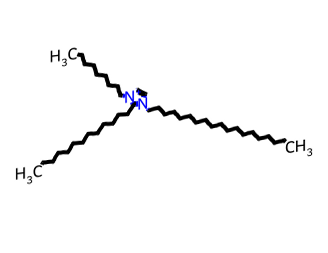 CCCCCCCCCCCCCCCCCCCn1cc[n+](CCCCCCCCC)c1CCCCCCCCCCCCC